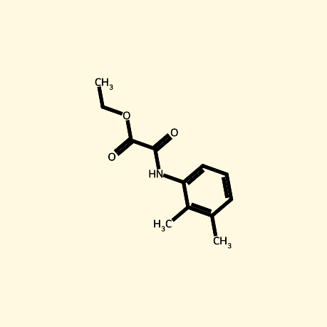 CCOC(=O)C(=O)Nc1cccc(C)c1C